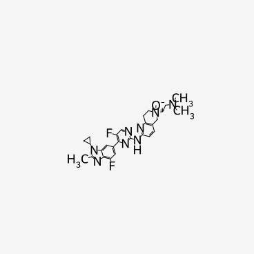 Cc1nc2c(F)cc(-c3nc(Nc4ccc5c(n4)CC[N+]([O-])(CCN(C)C)C5)ncc3F)cc2n1C1CC1